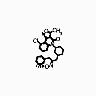 CO/N=C(\Cc1ccccc1)CC1CCCC(n2c(=O)c3c(C)onc3c3c(Cl)cccc32)C1